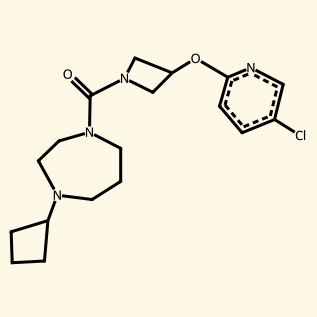 O=C(N1CCCN(C2CCC2)CC1)N1CC(Oc2ccc(Cl)cn2)C1